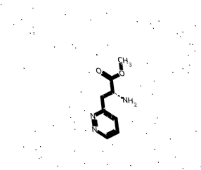 COC(=O)[C@H](N)Cc1cccnn1